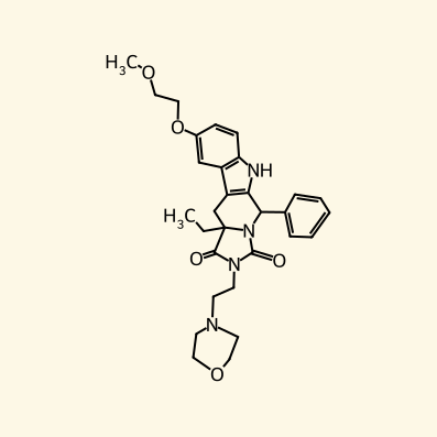 CCC12Cc3c([nH]c4ccc(OCCOC)cc34)C(c3ccccc3)N1C(=O)N(CCN1CCOCC1)C2=O